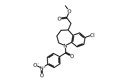 COC(=O)CC1CCCN(C(=O)c2ccc([N+](=O)[O-])cc2)c2ccc(Cl)cc21